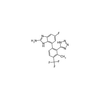 Cc1c(C(F)(F)F)ccc(-c2cc(F)cc3nc(N)[nH]c23)c1-c1nnn[nH]1